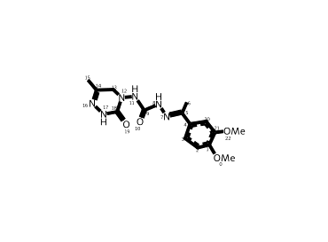 COc1ccc(/C(C)=N/NC(=O)NN2CC(C)=NNC2=O)cc1OC